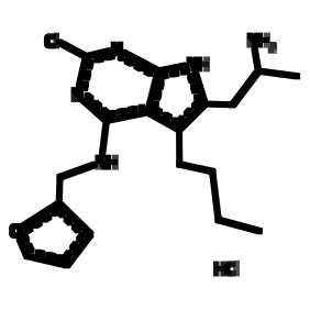 CCCCc1c(CC(C)N)[nH]c2nc(Cl)nc(NCc3ccco3)c12.Cl